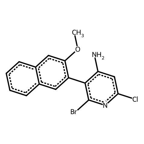 COc1cc2ccccc2cc1-c1c(N)cc(Cl)nc1Br